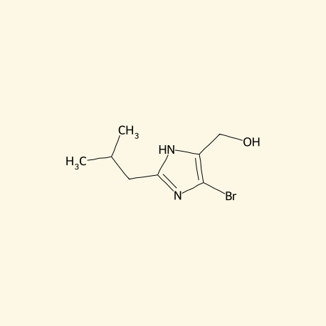 CC(C)Cc1nc(Br)c(CO)[nH]1